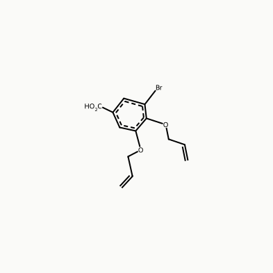 C=CCOc1cc(C(=O)O)cc(Br)c1OCC=C